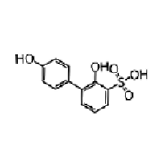 O=S(=O)(O)c1cccc(-c2ccc(O)cc2)c1O